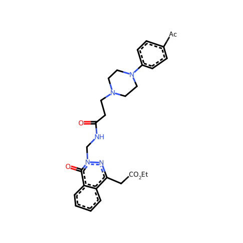 CCOC(=O)Cc1nn(CNC(=O)CCN2CCN(c3ccc(C(C)=O)cc3)CC2)c(=O)c2ccccc12